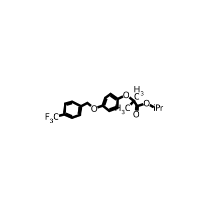 CC(C)OC(=O)C(C)(C)Oc1ccc(OCc2ccc(C(F)(F)F)cc2)cc1